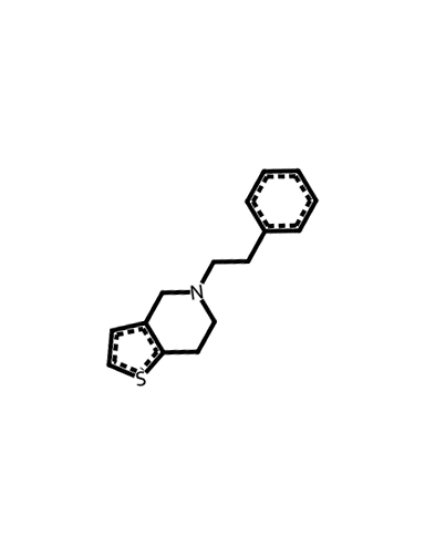 c1ccc(CCN2CCc3sccc3C2)cc1